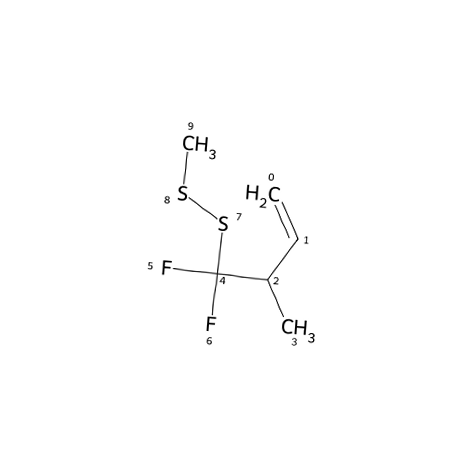 C=CC(C)C(F)(F)SSC